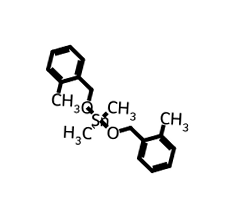 Cc1ccccc1C[O][Sn]([CH3])([CH3])[O]Cc1ccccc1C